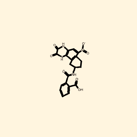 O=C(O)c1ccccc1C(=O)NC1CCc2c([N+](=O)[O-])cc3[nH]c(=O)c(=O)[nH]c3c2C1